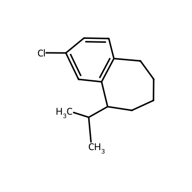 CC(C)C1CCCCc2ccc(Cl)cc21